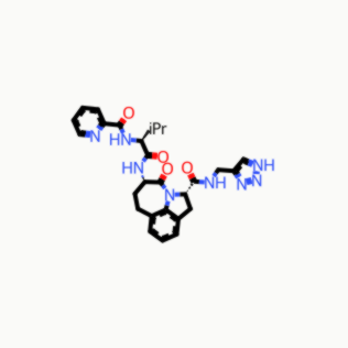 CC(C)[C@H](NC(=O)c1ccccn1)C(=O)N[C@H]1CCc2cccc3c2N(C1=O)[C@H](C(=O)NCc1c[nH]nn1)C3